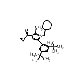 Cc1c(C(=O)C2CC2)cc(-c2cc(C(C)(C)C)cc(C(C)(C)C)c2)n1CC1CCCCC1